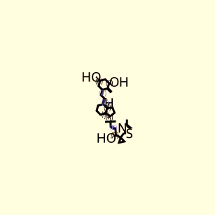 C=C1/C(=C\C=C2/CCC[C@]3(C)[C@@H](C(C)(C)/C=C/[C@@H](O)C4(c5nc(C)cs5)CC4)CC[C@@H]23)C[C@@H](O)C[C@@H]1O